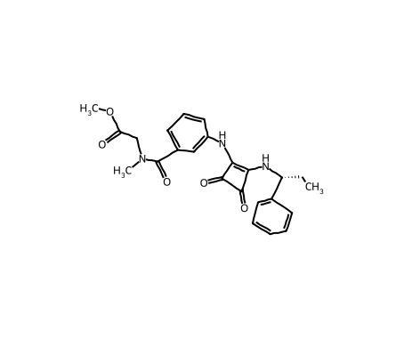 CC[C@@H](Nc1c(Nc2cccc(C(=O)N(C)CC(=O)OC)c2)c(=O)c1=O)c1ccccc1